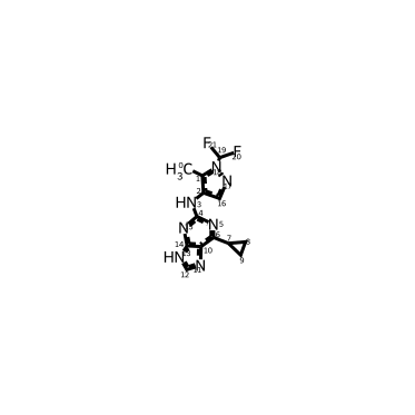 Cc1c(Nc2nc(C3CC3)c3nc[nH]c3n2)cnn1C(F)F